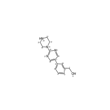 OCc1cccc(-c2cnc(N3CCNCC3)nc2)c1